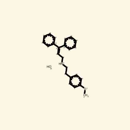 COc1ccc(CCNCC=C(c2ccccc2)c2ccccc2)cc1.Cl